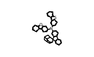 c1ccc2c(c1)-c1ccc(N(c3ccc4c(c3)oc3ccccc34)c3ccc4sc5ccccc5c4c3)cc1C21C2CC3CC(C2)CC1C3